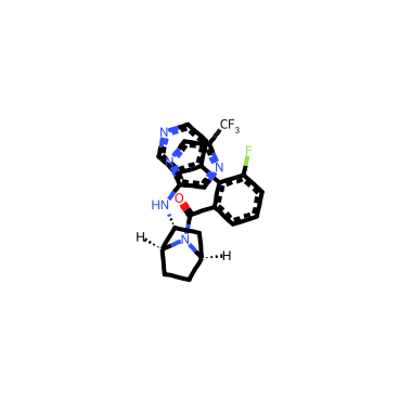 O=C(c1cccc(F)c1-c1ccncc1)N1[C@@H]2CC[C@H]1[C@H](Nc1cnc(C(F)(F)F)cn1)C2